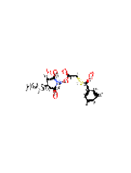 O=C(CSC(=O)c1ccccc1)ON1C(=O)C(S(=O)(=O)O)CC1O